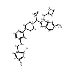 Cc1ccc2nc(C(C3CC3)N3CCC(c4cccc(OCc5ccc(Cl)cc5F)n4)CC3)n(CC3CCO3)c2c1